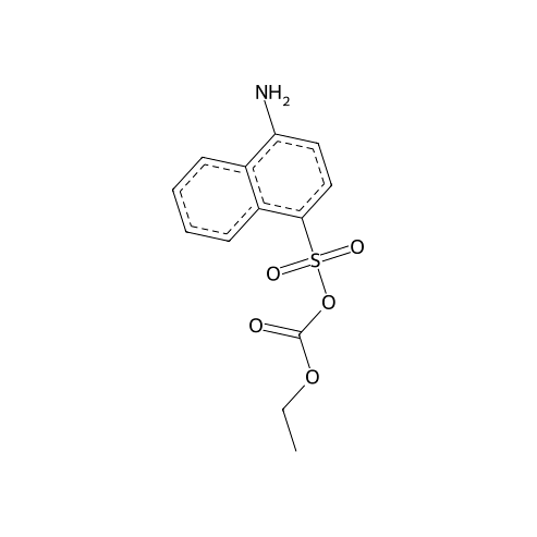 CCOC(=O)OS(=O)(=O)c1ccc(N)c2ccccc12